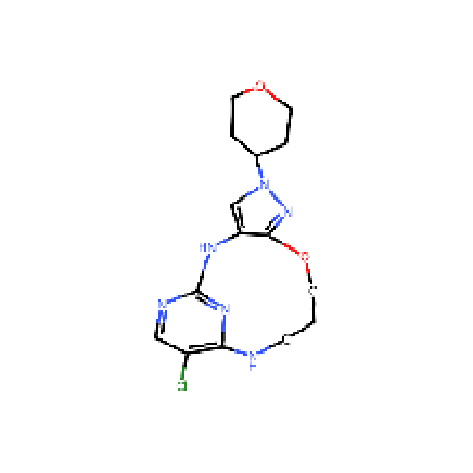 Clc1cnc2nc1NCCCOc1nn(C3CCOCC3)cc1N2